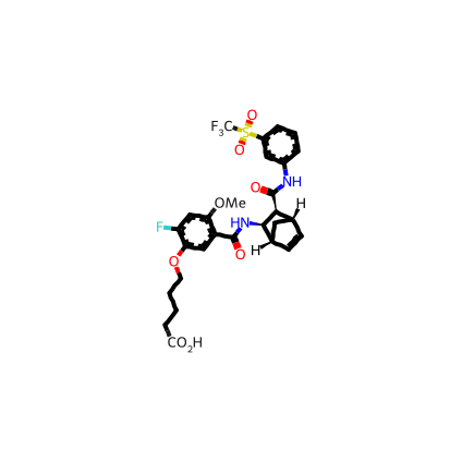 COc1cc(F)c(OCCCCC(=O)O)cc1C(=O)N[C@H]1[C@@H](C(=O)Nc2cccc(S(=O)(=O)C(F)(F)F)c2)[C@@H]2C=C[C@H]1C2